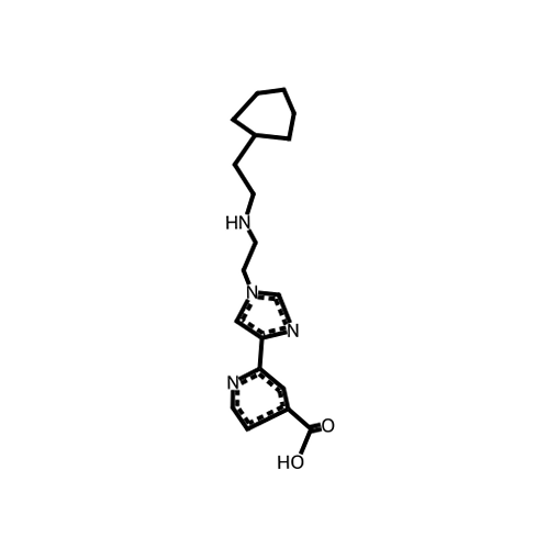 O=C(O)c1ccnc(-c2cn(CCNCCC3CCCCC3)cn2)c1